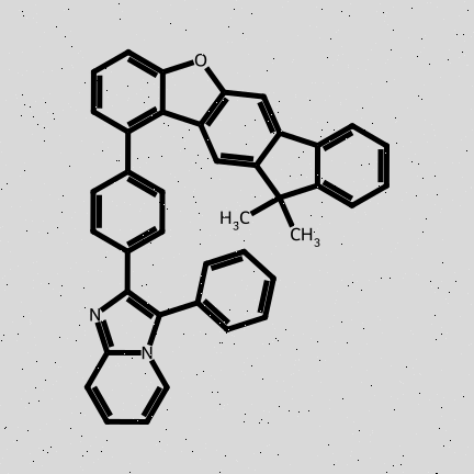 CC1(C)c2ccccc2-c2cc3oc4cccc(-c5ccc(-c6nc7ccccn7c6-c6ccccc6)cc5)c4c3cc21